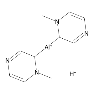 CN1C=CN=C[CH]1[Al+][CH]1C=NC=CN1C.[H-]